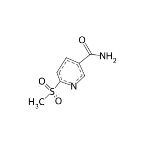 CS(=O)(=O)c1ccc(C(N)=O)cn1